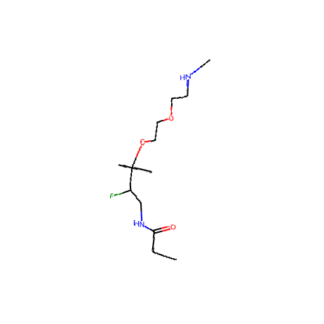 CCC(=O)NCC(F)C(C)(C)OCCOCCNC